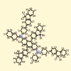 Cc1ccc(N(c2ccc(-c3ccc4c(c3)C(C)(C)c3ccccc3-4)cc2)c2ccc3c(-c4ccc5c(c4)C(C)(C)c4ccccc4-5)c4cc(N(c5ccc(-c6ccc7c(c6)C(C)(C)c6ccccc6-7)cc5)c5ccc6ccccc6c5)ccc4c(-c4ccc5c(c4)C(C)(C)c4ccccc4-5)c3c2)cc1